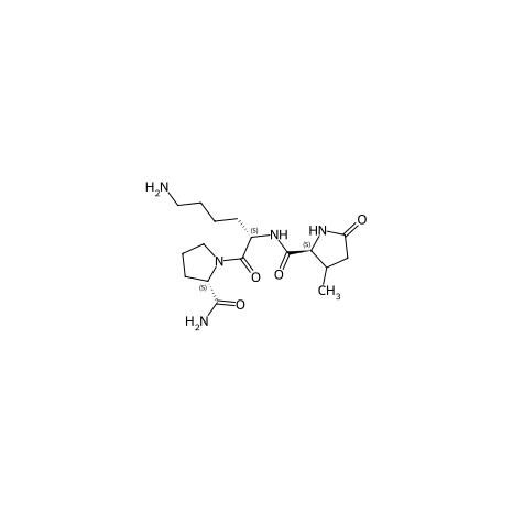 CC1CC(=O)N[C@@H]1C(=O)N[C@@H](CCCCN)C(=O)N1CCC[C@H]1C(N)=O